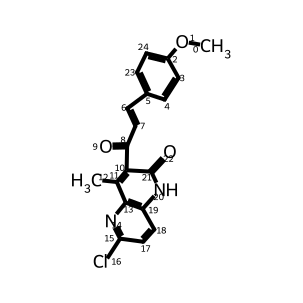 COc1ccc(C=CC(=O)c2c(C)c3nc(Cl)ccc3[nH]c2=O)cc1